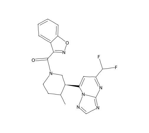 CC1CCN(C(=O)c2noc3ccccc23)C[C@H]1c1cc(C(F)F)nc2ncnn12